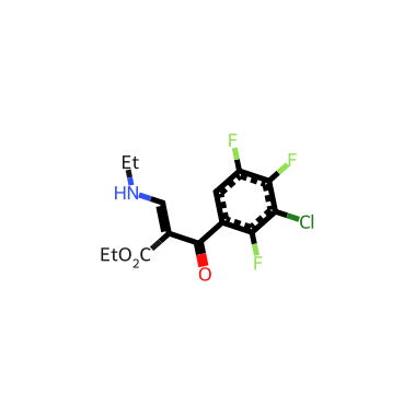 CCNC=C(C(=O)OCC)C(=O)c1cc(F)c(F)c(Cl)c1F